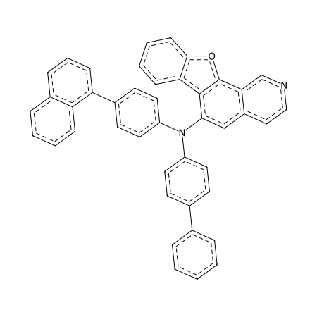 c1ccc(-c2ccc(N(c3ccc(-c4cccc5ccccc45)cc3)c3cc4ccncc4c4oc5ccccc5c34)cc2)cc1